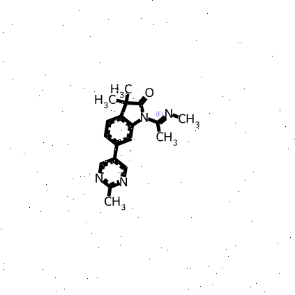 C/N=C(\C)N1C(=O)C(C)(C)c2ccc(-c3cnc(C)nc3)cc21